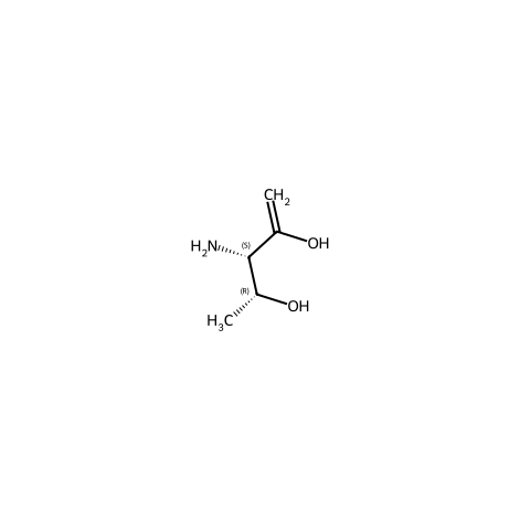 C=C(O)[C@@H](N)[C@@H](C)O